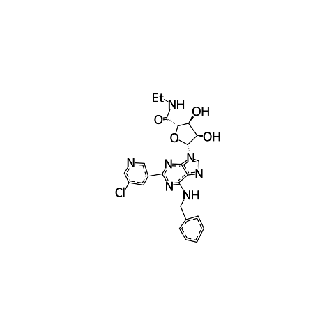 CCNC(=O)[C@H]1O[C@@H](n2cnc3c(NCc4ccccc4)nc(-c4cncc(Cl)c4)nc32)[C@H](O)[C@@H]1O